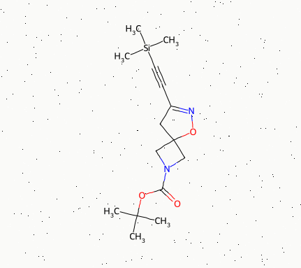 CC(C)(C)OC(=O)N1CC2(CC(C#C[Si](C)(C)C)=NO2)C1